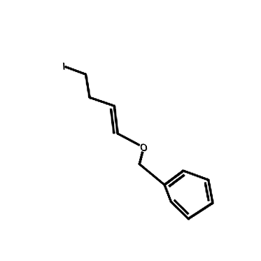 ICCC=COCc1ccccc1